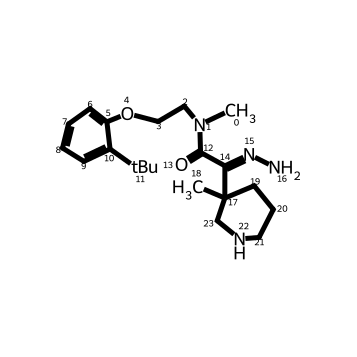 CN(CCOc1ccccc1C(C)(C)C)C(=O)C(=NN)C1(C)CCCNC1